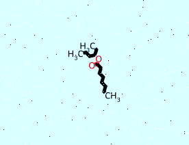 CCCCCCCC(=O)OC(CC)CCC